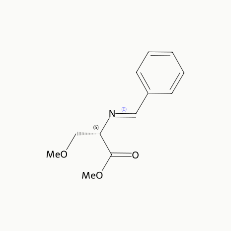 COC[C@H](/N=C/c1ccccc1)C(=O)OC